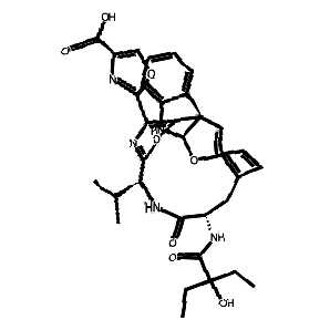 CCC(O)(CC)C(=O)N[C@H]1Cc2ccc3c(c2)[C@@]2(c4ccccc4NC2O3)c2oc(nc2-c2nc(C(=O)O)co2)[C@H](C(C)C)NC1=O